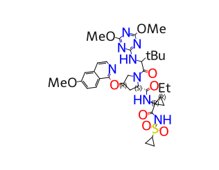 CC[C@@H]1C[C@]1(NC(=O)[C@@H]1C[C@@H](Oc2nccc3cc(OC)ccc23)CN1C(=O)C(Nc1nc(OC)nc(OC)n1)C(C)(C)C)C(=O)NS(=O)(=O)C1CC1